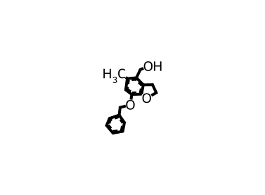 Cc1cc(OCc2ccccc2)c2c(c1CO)CCO2